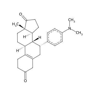 CN(C)c1ccc([C@@H]2CC3=C(CCC(=O)C3)[C@H]3CC[C@]4(C)C(=O)CC[C@H]4[C@@H]32)cc1